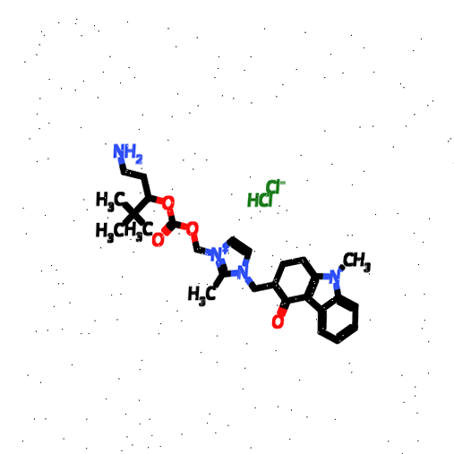 Cc1n(CC2CCc3c(c4ccccc4n3C)C2=O)cc[n+]1COC(=O)OC(CCN)C(C)(C)C.Cl.[Cl-]